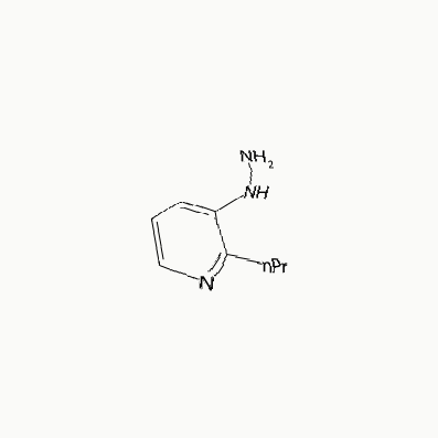 CCCc1ncccc1NN